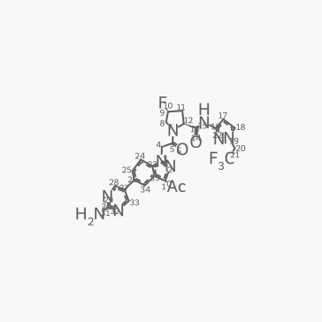 CC(=O)c1nn(CC(=O)N2C[C@H](F)C[C@H]2C(=O)Nc2ccn(CC(F)(F)F)n2)c2ccc(-c3cnc(N)nc3)cc12